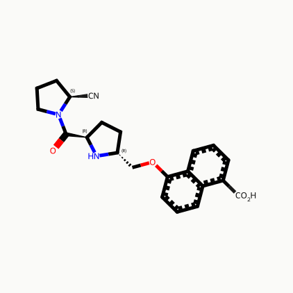 N#C[C@@H]1CCCN1C(=O)[C@H]1CC[C@H](COc2cccc3c(C(=O)O)cccc23)N1